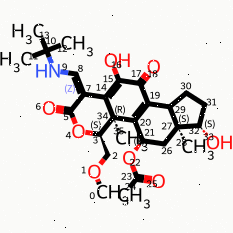 COC[C@H]1OC(=O)/C(=C\NC(C)(C)C)C2=C(O)C(=O)C3=C([C@H](OC(C)=O)C[C@@]4(C)C3CC[C@@H]4O)[C@]21C